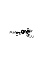 COC(=O)COc1ccc(C[C@H](NC(=O)OC(C)(C)C)C(=O)CBr)cc1